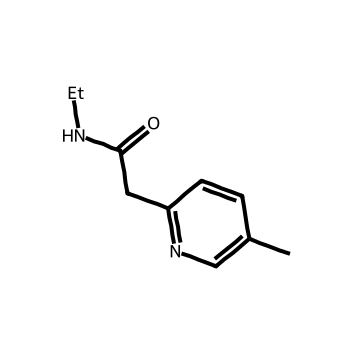 CCNC(=O)Cc1ccc(C)cn1